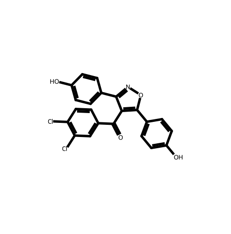 O=C(c1ccc(Cl)c(Cl)c1)c1c(-c2ccc(O)cc2)noc1-c1ccc(O)cc1